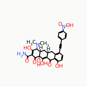 CN(C)[C@@H]1C(O)=C(C(N)=O)C(=O)[C@@]2(O)C(O)=C3C(=O)c4c(O)ccc(C#Cc5ccc([N+](=O)O)cc5)c4C[C@H]3C[C@@H]12